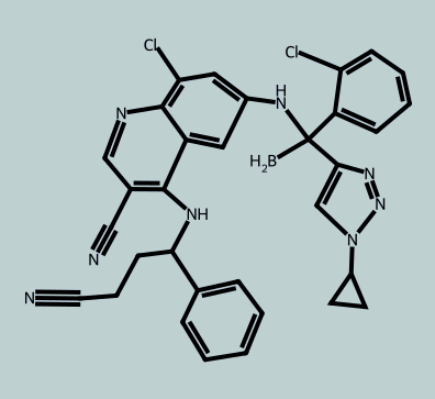 BC(Nc1cc(Cl)c2ncc(C#N)c(NC(CCC#N)c3ccccc3)c2c1)(c1cn(C2CC2)nn1)c1ccccc1Cl